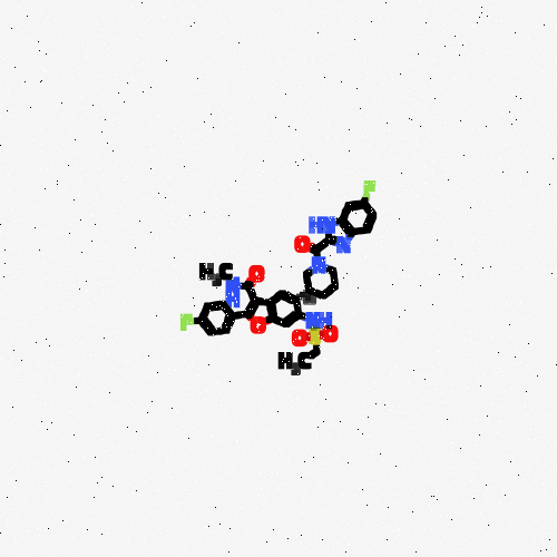 CCS(=O)(=O)Nc1cc2oc(-c3ccc(F)cc3)c(C(=O)NC)c2cc1[C@H]1CCCN(C(=O)c2nc3ccc(F)cc3[nH]2)C1